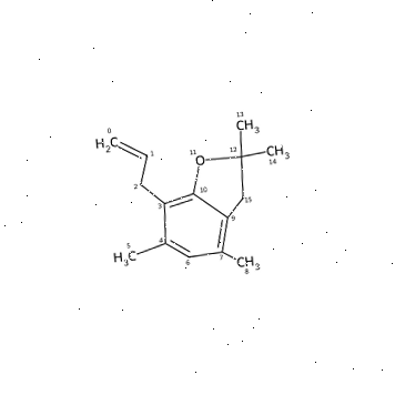 C=CCc1c(C)cc(C)c2c1OC(C)(C)C2